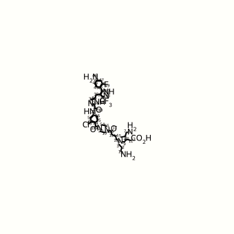 NCCC[N+](CCCN)(CCCC(=O)O)CCCC(=O)N1CCN(C(=O)c2ccc(NC(=O)c3ncc(Cc4c(C(F)(F)F)n[nH]c4-c4ccc(N)cc4F)[nH]3)cc2Cl)CC1